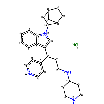 Cl.c1ccc2c(c1)c(C(CCNC1CCNCC1)c1ccncc1)cn2C1CC2CCC1C2